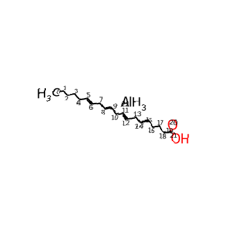 CCCCCC=CCC=CCC=CCC=CCCCC(=O)O.[AlH3]